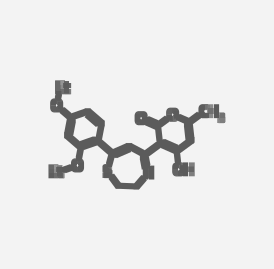 CCOc1ccc(C2=CC(c3c(O)cc(C)oc3=O)=NCCS2)c(OCC)c1